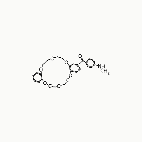 CNc1ccc(C(=O)c2ccc3c(c2)OCCOCCOc2ccccc2OCCOCCO3)cc1